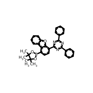 CC1(C)OB(c2ccc(-c3nc(-c4ccccc4)nc(-c4ccccc4)n3)c3oc4ccccc4c23)OC1(C)C